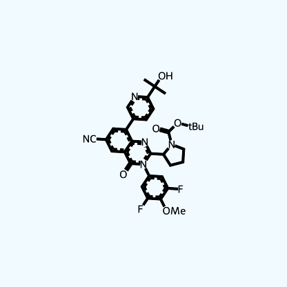 COc1c(F)cc(-n2c(C3CCCN3C(=O)OC(C)(C)C)nc3c(-c4ccc(C(C)(C)O)nc4)cc(C#N)cc3c2=O)cc1F